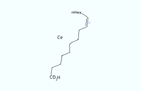 CCCCCC/C=C\CCCCCCCC(=O)O.[Ce]